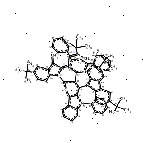 C=c1/c(=C\C=C(/C)C(C)(C)C)n(-c2cc3c4ccccc4n(-c4ccccc4)c3c(-n3c4ccc(C(C)(C)C)cc4c4cc(C(C)(C)C)ccc43)c2-c2nc(-c3ccccc3)nc(-c3ccccc3)n2)c2ccc(C(C)(C)C)cc12